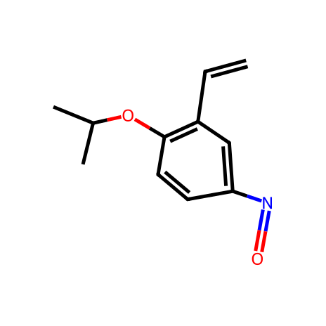 C=Cc1cc(N=O)ccc1OC(C)C